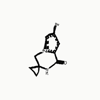 O=C1NC2(CC2)Cn2cc(Br)cc21